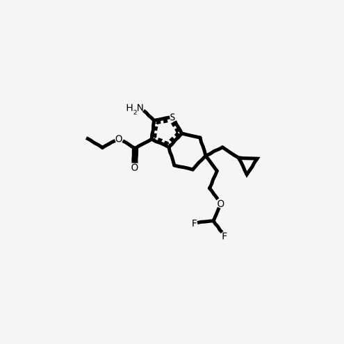 CCOC(=O)c1c(N)sc2c1CCC(CCOC(F)F)(CC1CC1)C2